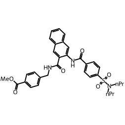 CCCN(CCC)S(=O)(=O)c1ccc(C(=O)Nc2cc3ccccc3cc2C(=O)NCc2ccc(C(=O)OC)cc2)cc1